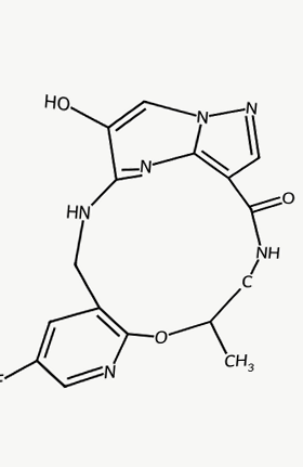 CC1CNC(=O)c2cnn3cc(O)c(nc23)NCc2cc(F)cnc2O1